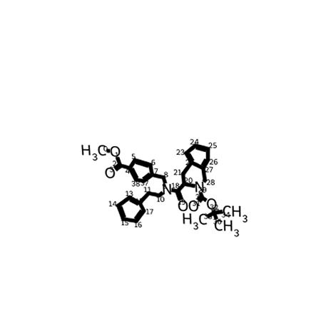 COC(=O)c1ccc(CN(CCc2ccccc2)C(=O)C2Cc3ccccc3CN2C(=O)OC(C)(C)C)cc1